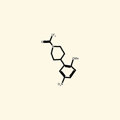 COc1ccc([N+](=O)[O-])cc1C1CCN(C(=O)C(F)(F)F)CC1